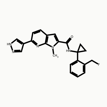 Cn1c(C(=O)NC2(c3ccccc3CF)CC2)cc2ccc(-c3cn[nH]c3)nc21